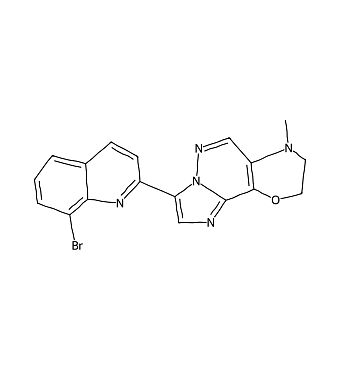 CN1CCOc2c1cnn1c(-c3ccc4cccc(Br)c4n3)cnc21